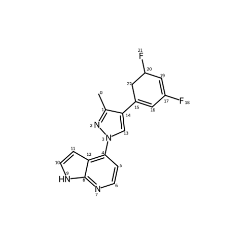 Cc1nn(-c2ccnc3[nH]ccc23)cc1C1=CC(F)=CC(F)C1